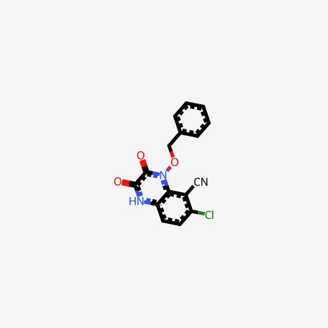 N#Cc1c(Cl)ccc2[nH]c(=O)c(=O)n(OCc3ccccc3)c12